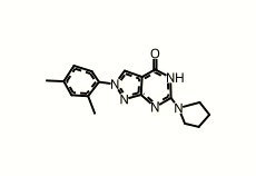 Cc1ccc(-n2cc3c(=O)[nH]c(N4CCCC4)nc3n2)c(C)c1